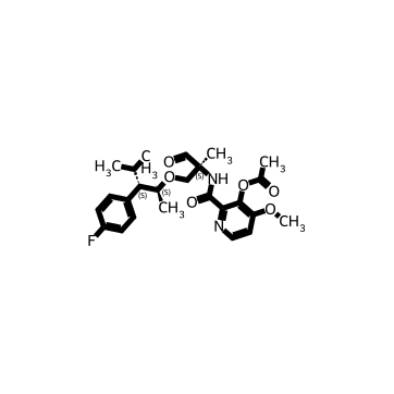 COc1ccnc(C(=O)N[C@](C)(C=O)CO[C@@H](C)[C@H](c2ccc(F)cc2)C(C)C)c1OC(C)=O